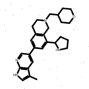 Cc1c[nH]c2ncc(-c3cc4c(c(C5CCCN5)c3)CN(CC3CCOCC3)CC4)cc12